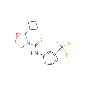 FC(F)(F)c1cccc(NC(=S)N2CCOC2C2CCC2)c1